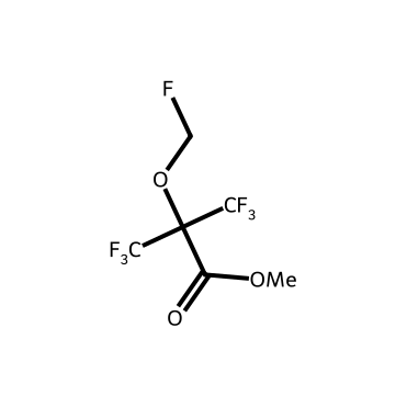 COC(=O)C(OCF)(C(F)(F)F)C(F)(F)F